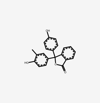 Cc1cc(C2(c3ccc(O)cc3)OC(=O)c3ccccc32)ccc1O